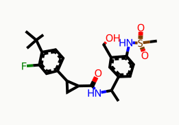 CC(NC(=O)C1CC1c1ccc(C(C)(C)C)c(F)c1)c1ccc(NS(C)(=O)=O)c(CO)c1